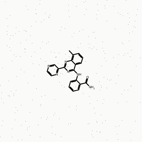 Cc1cccc2c(Nc3ccccc3C(N)=O)nc(-c3cnccn3)nc12